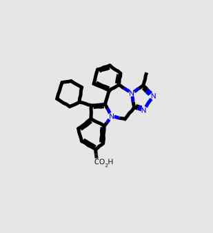 Cc1nnc2n1-c1ccccc1-c1c(C3CCCCC3)c3ccc(C(=O)O)cc3n1C2